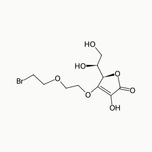 O=C1O[C@H]([C@@H](O)CO)C(OCCOCCBr)=C1O